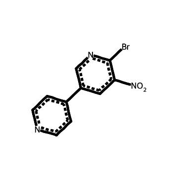 O=[N+]([O-])c1cc(-c2ccncc2)cnc1Br